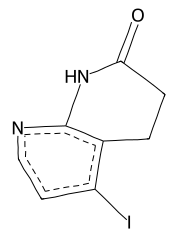 O=C1CCc2c(I)ccnc2N1